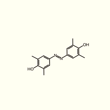 Cc1cc(N=Nc2cc(C)c(O)c(C)c2)cc(C)c1O